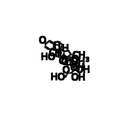 C[C@@H]1C[C@H]2[C@@H]3CCC4=CC(=O)C=C[C@]4(C)[C@@]3(F)[C@@H](O)C[C@]2(C)[C@@]1(O[C@@H]1O[C@H](CO)[C@H](O)[C@H](O)[C@H]1O)C(=O)CO